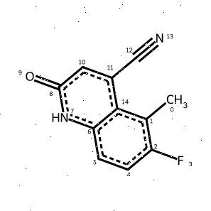 Cc1c(F)ccc2[nH]c(=O)cc(C#N)c12